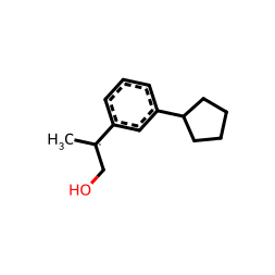 C[C](CO)c1cccc(C2CCCC2)c1